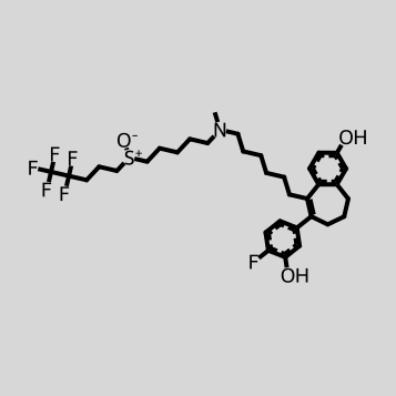 CN(CCCCCCC1=C(c2ccc(F)c(O)c2)CCCc2cc(O)ccc21)CCCCC[S+]([O-])CCCC(F)(F)C(F)(F)F